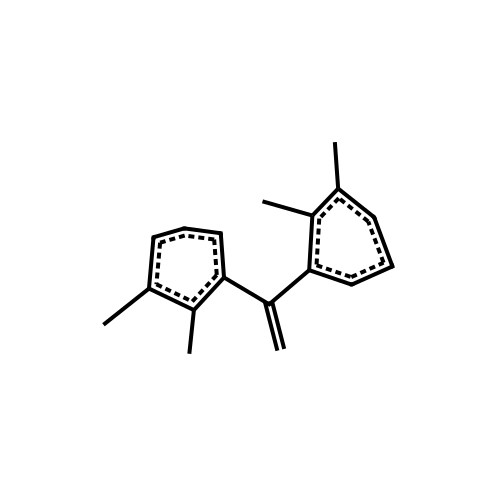 C=C(c1cccc(C)c1C)c1cccc(C)c1C